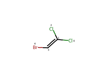 ClC(Cl)=CBr